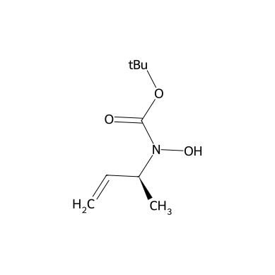 C=C[C@H](C)N(O)C(=O)OC(C)(C)C